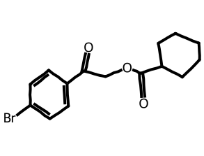 O=C(COC(=O)C1CCCCC1)c1ccc(Br)cc1